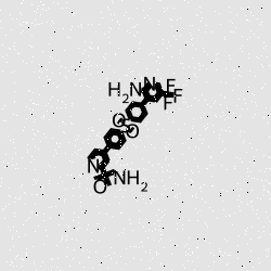 NCC1(c2cc(-c3ccc(S(=O)(=O)C4CCC(c5cc(C(F)(F)F)cnc5N)CC4)cc3)ccn2)COC1